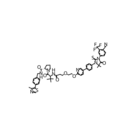 Cc1ncsc1-c1ccc(CNC(=O)[C@@H]2CCCN2C(=O)C(NC(=O)CCOCCOc2ccc(-c3ccc(N4C(=S)N(c5ccc(C#N)c(C(F)(F)F)c5)C(=O)C4(C)C)cc3)cn2)C(C)(C)C)cc1